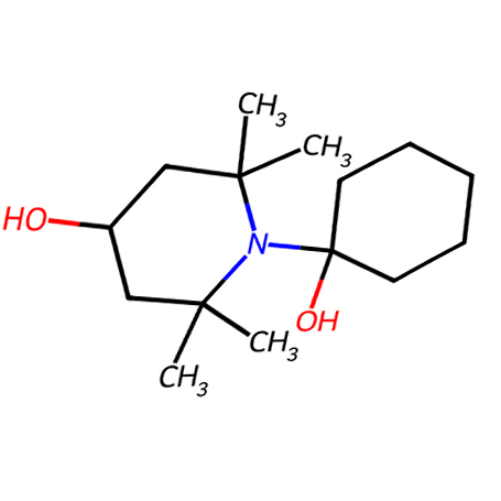 CC1(C)CC(O)CC(C)(C)N1C1(O)CCCCC1